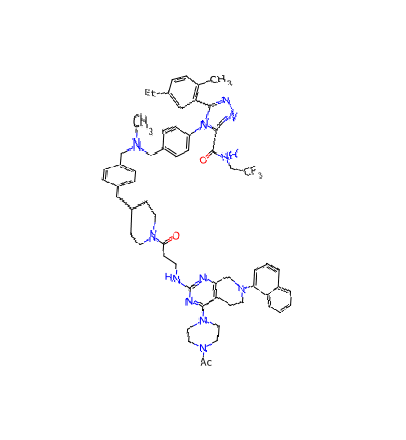 CCc1ccc(C)c(-c2nnc(C(=O)NCC(F)(F)F)n2-c2ccc(CN(C)Cc3ccc(CC4CCN(C(=O)CCNc5nc6c(c(N7CCN(C(C)=O)CC7)n5)CCN(c5cccc7ccccc57)C6)CC4)cc3)cc2)c1